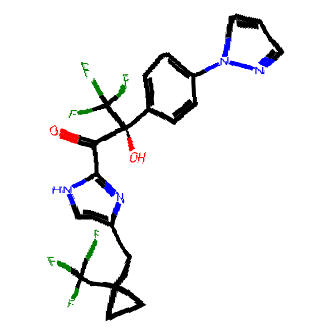 O=C(c1nc(CC2(C(F)(F)F)CC2)c[nH]1)[C@@](O)(c1ccc(-n2cccn2)cc1)C(F)(F)F